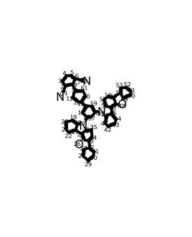 N#Cc1cccc(C#N)c1-c1ccc(-c2cc(-n3c4ccccc4c4c5oc6ccccc6c5ccc43)cc(-n3c4ccccc4c4c5oc6ccccc6c5ccc43)c2)cc1